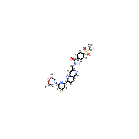 C[C@@H]1CN(c2cc(F)cc(-c3ccc4cnc(CNC(=O)c5ccc(S(=O)(=O)CC(F)(F)F)cc5)cc4n3)n2)C[C@H](C)O1